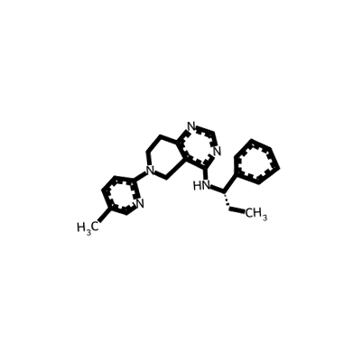 CC[C@H](Nc1ncnc2c1CN(c1ccc(C)cn1)CC2)c1ccccc1